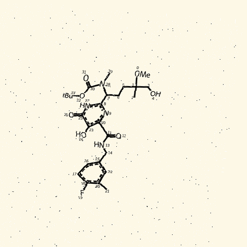 COC(C)(CO)CCC(c1nc(C(=O)NCc2ccc(F)c(C)c2)c(O)c(=O)[nH]1)N(C)C(=O)OC(C)(C)C